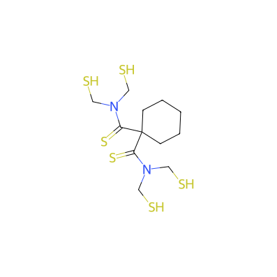 S=C(N(CS)CS)C1(C(=S)N(CS)CS)CCCCC1